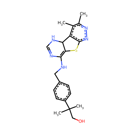 Cc1nnc2c(c1C)C1NC=NC(NCc3ccc(C(C)(C)CO)cc3)=C1S2